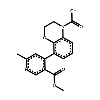 COC(=O)c1cnc(C)cc1-c1cccc2c1OCCN2C(=O)O